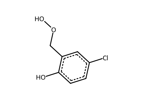 OOCc1cc(Cl)ccc1O